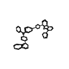 c1ccc(-c2cccc3c2oc2c(-c4ccc(-c5ccc(N(c6ccccc6)c6ccc(-c7cccc8ccccc78)cc6)cc5)cc4)cccc23)cc1